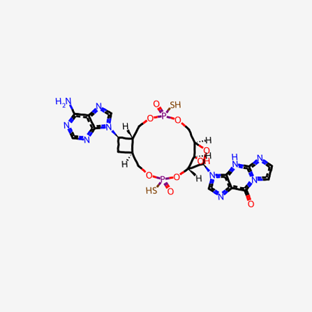 Nc1ncnc2c1ncn2[C@@H]1C[C@@H]2COP(=O)(S)O[C@@H]3[C@H](O)[C@@H](COP(=O)(S)OC[C@H]21)O[C@H]3n1cnc2c(=O)n3ccnc3[nH]c21